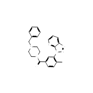 Cc1ccc(C(=O)N2CCN(Cc3ccccc3)CC2)cc1-n1nnc2cccnc21